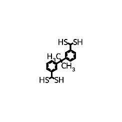 CC(C)(c1cccc(C(S)S)c1)c1cccc(C(S)S)c1